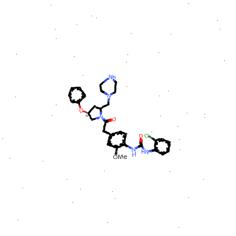 COc1cc(CC(=O)N2C[C@@H](Oc3ccccc3)CC2CN2CCNCC2)ccc1NC(=O)Nc1ccccc1Cl